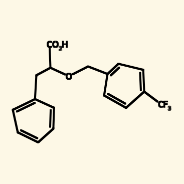 O=C(O)C(Cc1ccccc1)OCc1ccc(C(F)(F)F)cc1